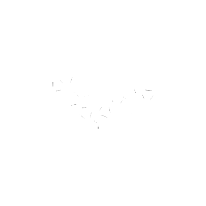 C=C(O/N=C(/C(=O)c1ccc2c(c1)c1cc(C(=O)/C(CCC3CCCC3)=N/OC(=O)c3ccccc3)ccc1n2C(C)C)C(C)C)c1ccccc1